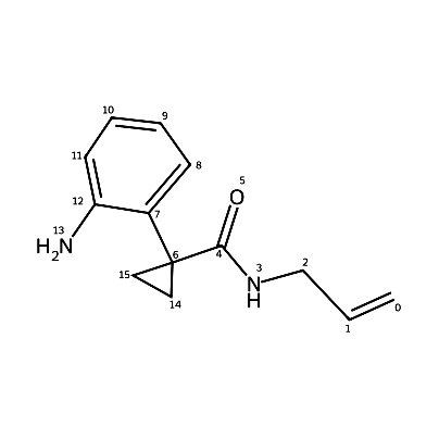 C=CCNC(=O)C1(c2ccccc2N)CC1